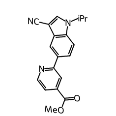 COC(=O)c1ccnc(-c2ccc3c(c2)c(C#N)cn3C(C)C)c1